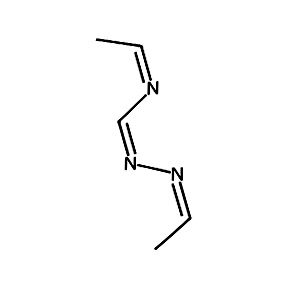 C\C=N/C=N\N=C/C